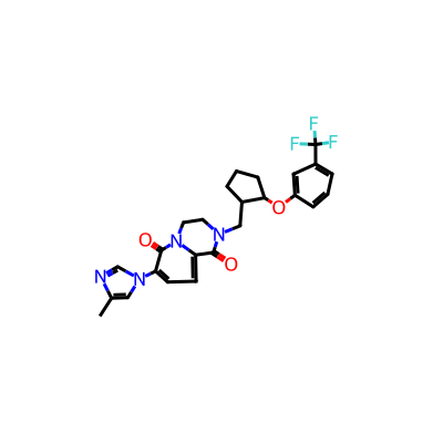 Cc1cn(-c2ccc3n(c2=O)CCN(CC2CCCC2Oc2cccc(C(F)(F)F)c2)C3=O)cn1